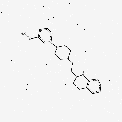 COc1cccc(N2CCN(CCC3CCc4ccccc4N3)CC2)c1